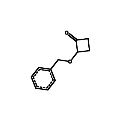 O=C1CCC1OCc1ccccc1